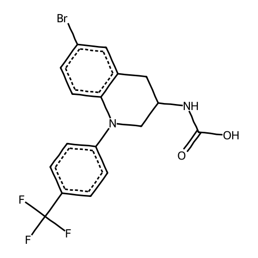 O=C(O)NC1Cc2cc(Br)ccc2N(c2ccc(C(F)(F)F)cc2)C1